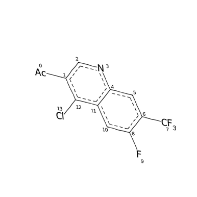 CC(=O)c1cnc2cc(C(F)(F)F)c(F)cc2c1Cl